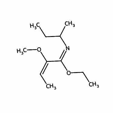 C/C=C(OC)\C(=N/C(C)CC)OCC